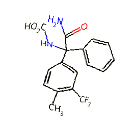 Cc1ccc(C(NC(=O)O)(C(N)=O)c2ccccc2)cc1C(F)(F)F